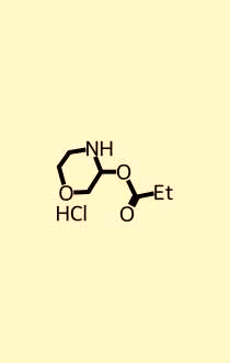 CCC(=O)OC1COCCN1.Cl